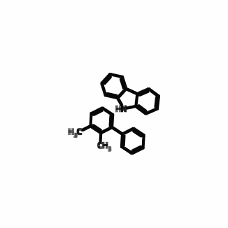 Cc1cccc(-c2ccccc2)c1C.c1ccc2c(c1)[nH]c1ccccc12